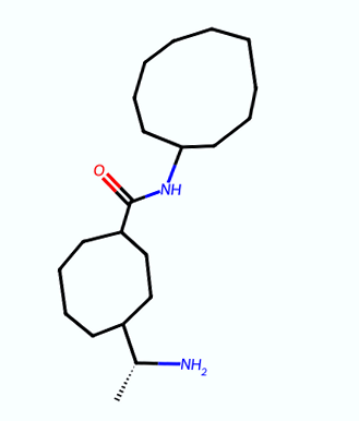 C[C@@H](N)C1CCCCC(C(=O)NC2CCCCCCCCC2)CC1